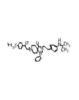 Cc1ccc(C(=O)CN2CCC3(CC2)C(=O)N(CCc2ccc(NC(C)C)cc2)CN3c2ccccc2)cc1